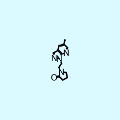 Cc1cnc2c(cnn2CCN2CCCC2=O)c1